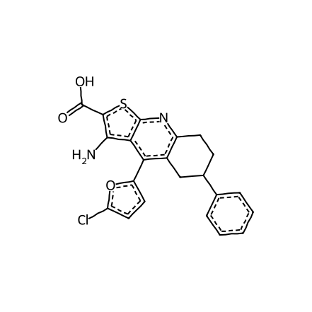 Nc1c(C(=O)O)sc2nc3c(c(-c4ccc(Cl)o4)c12)CC(c1ccccc1)CC3